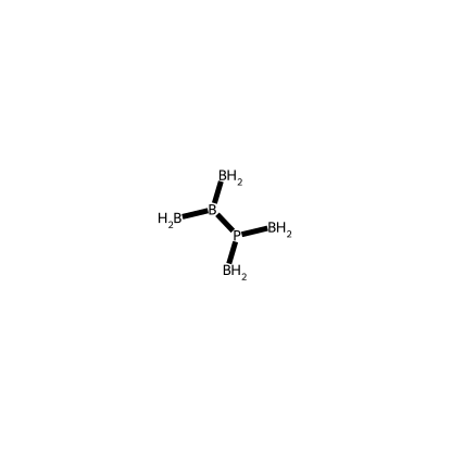 BB(B)P(B)B